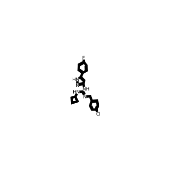 Fc1ccc(-c2cc(N/C(=N\Cc3ccc(Cl)cc3)NC3CCC3)n[nH]2)cc1